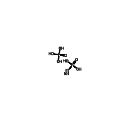 CCP(=O)(O)O.O=P(O)(O)O.[KH]